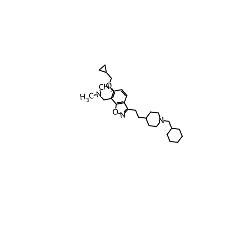 CN(C)Cc1c(OCC2CC2)ccc2c(CCC3CCN(CC4CCCCC4)CC3)noc12